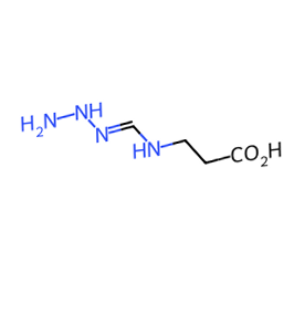 NNN=CNCCC(=O)O